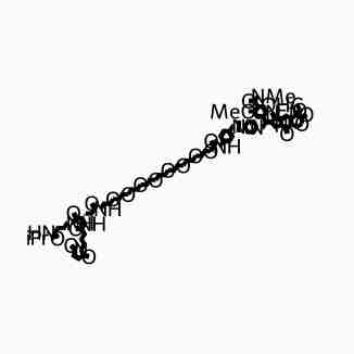 CC[C@@]1(OC=O)C(=O)OCc2c1cc1n(c2=O)Cc2c-1nc1cc(C(=O)NC)c(OC)cc1c2CN1CCC([N+](C)(C)Cc2ccc(NC(=O)OCCOCCOCCOCCOCCOCCOCCOCCNC(=O)CC[C@H](NC(=O)CCCN3C(=O)C=CC3=O)C(=O)NCCCC(=O)NC(C)C)cc2)CC1